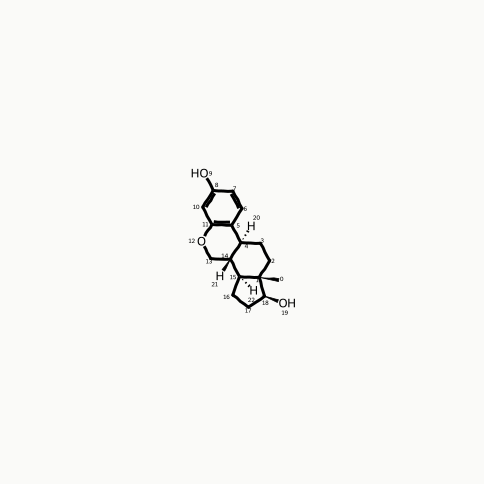 C[C@]12CC[C@@H]3c4ccc(O)cc4OC[C@H]3[C@@H]1CC[C@@H]2O